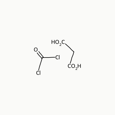 O=C(Cl)Cl.O=C(O)CC(=O)O